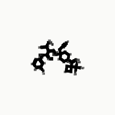 N#CCC1(N/C=C(\C(=N)Nc2ccnc(F)c2)C(N)=O)CCN(C(=O)C2(C(F)(F)F)CCC2)CC1